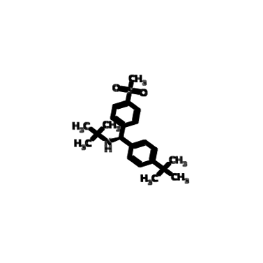 CC(C)(C)N[C@H](c1ccc(C(C)(C)C)cc1)c1ccc(S(C)(=O)=O)cc1